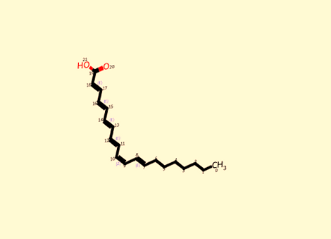 CCCCCCC/C=C/C=C\C=C\C=C\C=C\C=C\C(=O)O